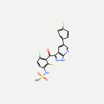 CCCS(=O)(=O)Nc1ccc(F)c(C(=O)c2n[nH]c3ncc(-c4ccc(F)cc4)cc23)c1F